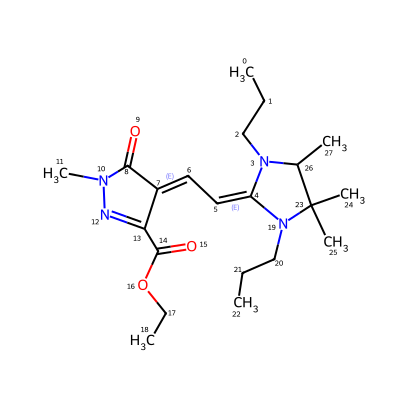 CCCN1/C(=C\C=C2\C(=O)N(C)N=C2C(=O)OCC)N(CCC)C(C)(C)C1C